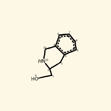 OCC1Cc2ccccc2CN1